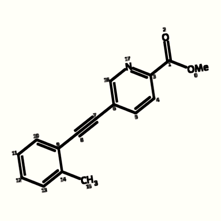 COC(=O)c1ccc(C#Cc2ccccc2C)cn1